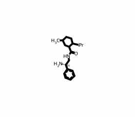 CC1CCC(C(C)C)C(C(=O)NC[C@@H](N)c2ccccc2)C1